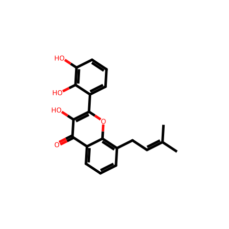 CC(C)=CCc1cccc2c(=O)c(O)c(-c3cccc(O)c3O)oc12